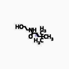 CC(C)(C)/C=C/C(=O)NCCO